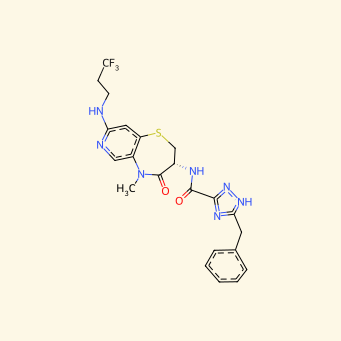 CN1C(=O)[C@@H](NC(=O)c2n[nH]c(Cc3ccccc3)n2)CSc2cc(NCCC(F)(F)F)ncc21